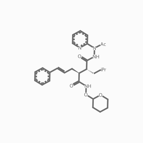 CC(=O)N(NC(=O)[C@H](CC(C)C)[C@H](CC=Cc1ccccc1)C(=O)NOC1CCCCO1)c1ccccn1